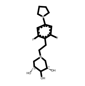 OC1[C@H](O)CN(CCc2c(F)cc(N3CCCC3)cc2F)C[C@@H]1O